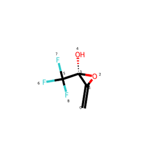 C=C1O[C@]1(O)C(F)(F)F